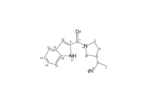 C[C](C)C(C)C1CCN(C(=O)c2cc3ccccc3[nH]2)C1